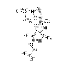 O=S(=O)(Nc1cc(F)c(OCC(F)F)nc1F)c1cnn2cc(Cl)ccc12